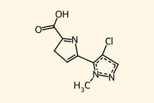 Cn1ncc(Cl)c1C1=CCC(C(=O)O)=N1